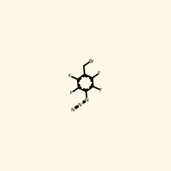 [N-]=[N+]=Nc1c(F)c(F)c(CBr)c(F)c1F